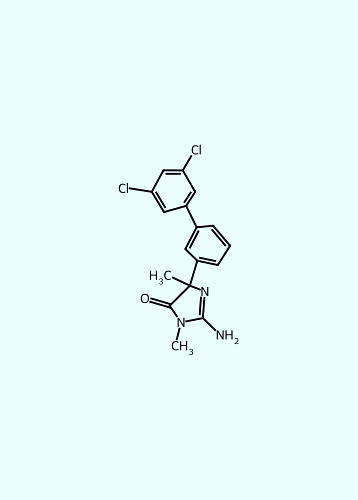 CN1C(=O)C(C)(c2cccc(-c3cc(Cl)cc(Cl)c3)c2)N=C1N